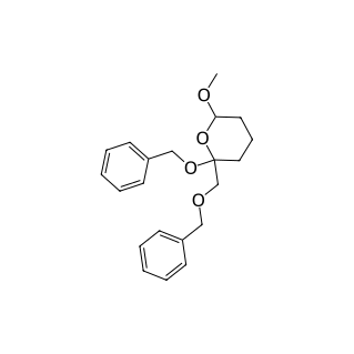 COC1CCCC(COCc2ccccc2)(OCc2ccccc2)O1